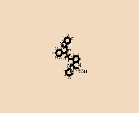 CC(C)(C)c1nc2cccc(CC(C)(C)c3cc4c5ccccc5nn4c4ccccc34)c2c2nc3ccccn3c12